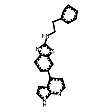 c1ccc(CCNc2nc3ccc(-c4ccnc5[nH]ccc45)cc3s2)cc1